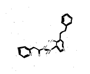 O=C(Cc1ccccn1)NNc1cncc(CCc2ccccc2)c1C(F)(F)F